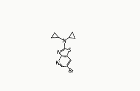 Brc1cnc2nc(N(C3CC3)C3CC3)sc2c1